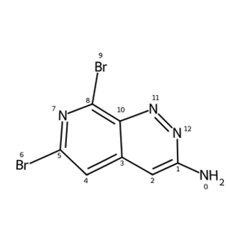 Nc1cc2cc(Br)nc(Br)c2nn1